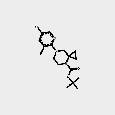 CC(C)(C)OC(=O)N1CCN(c2ncc(Cl)cc2F)CC12CC2